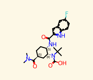 CN(C)C(=O)[C@H]1CC[C@H](NC(=O)c2cc3cc(F)ccc3[nH]2)[C@H](N(C(=O)O)C(C)(C)C)C1